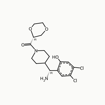 N[C@@H](c1cc(Cl)c(Cl)cc1O)C1CCN(C(=O)[C@H]2COCCO2)CC1